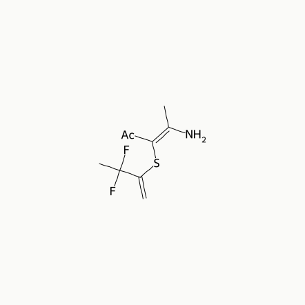 C=C(S/C(C(C)=O)=C(/C)N)C(C)(F)F